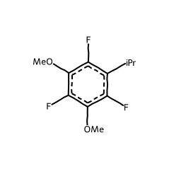 COc1c(F)c(OC)c(F)c(C(C)C)c1F